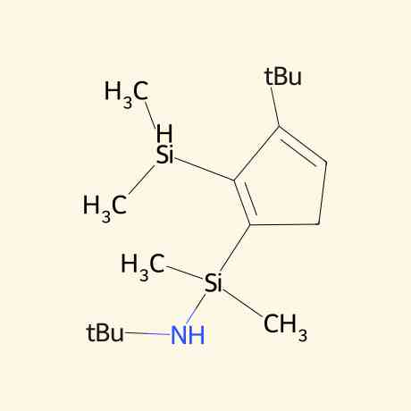 C[SiH](C)C1=C([Si](C)(C)NC(C)(C)C)CC=C1C(C)(C)C